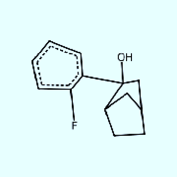 OC1(c2ccccc2F)CC2CCC1C2